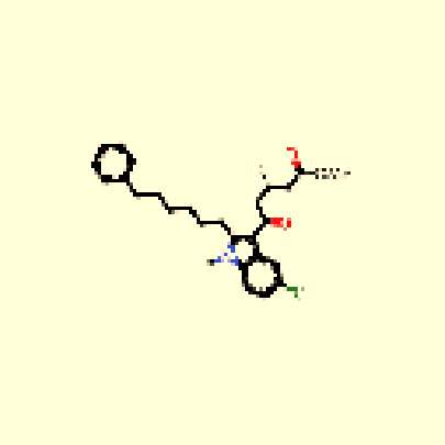 COC(=O)C[C@@H](C)CC(=O)c1c(CCCCCCc2ccccc2)n(C)c2ccc(Cl)cc12